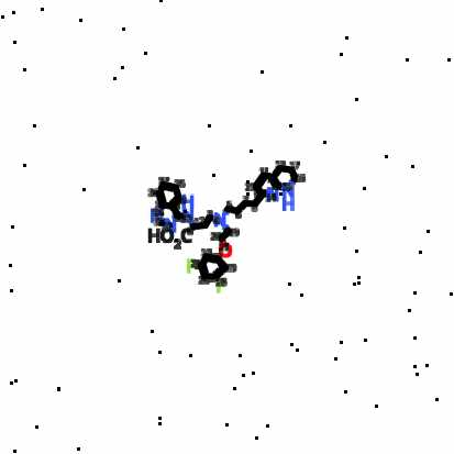 O=C(O)[C@H](CCN(CCCCc1ccc2c(n1)NCCC2)CCOc1cc(F)cc(F)c1)Nc1ncnc2ccccc12